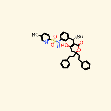 CC(C)(C)[C@H](C1=C(O)CC(CCc2ccccc2)(CCc2ccccc2)OC1=O)c1cccc(NS(=O)(=O)c2ccc(C#N)cn2)c1